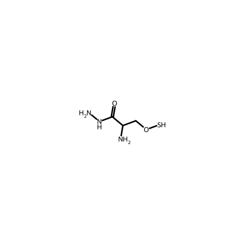 NNC(=O)C(N)COS